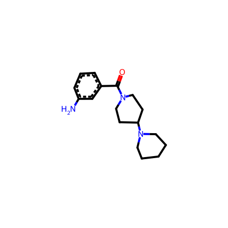 Nc1cccc(C(=O)N2CCC(N3CCCCC3)CC2)c1